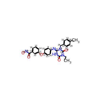 CCn1c(=O)[nH]/c(=N\c2ccc(Oc3cccc(C(=O)N=O)c3)cc2)n(Cc2ccc(C)cc2)c1=O